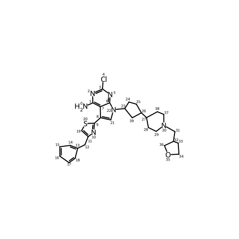 Nc1nc(Cl)nc2c1c(-c1nc(Cc3ccccc3)cs1)cn2C1CCC(C2CCN(CC3CCOC3)CC2)C1